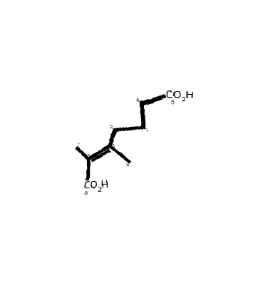 C/C(CCCC(=O)O)=C(/C)C(=O)O